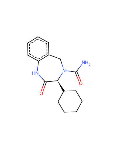 NC(=O)N1Cc2ccccc2NC(=O)[C@@H]1C1CCCCC1